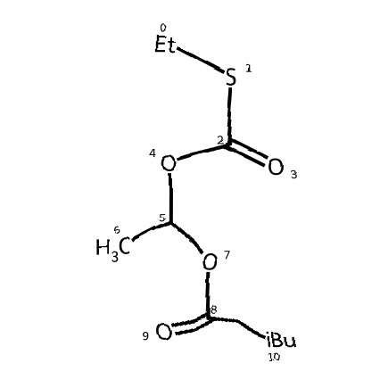 CCSC(=O)OC(C)OC(=O)C(C)CC